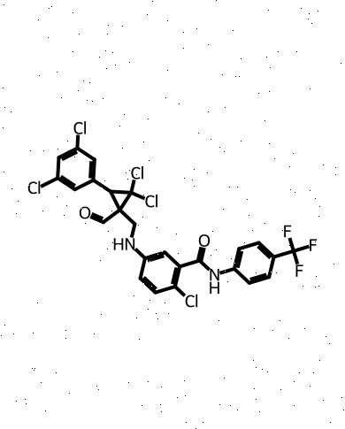 O=CC1(CNc2ccc(Cl)c(C(=O)Nc3ccc(C(F)(F)F)cc3)c2)C(c2cc(Cl)cc(Cl)c2)C1(Cl)Cl